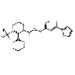 C=C(NCC(=N)/C=C(\C)c1cccs1)C1=CCCC(C(F)(F)F)=C1N1CCCCC1